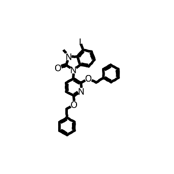 Cn1c(=O)n(-c2ccc(OCc3ccccc3)nc2OCc2ccccc2)c2cccc(I)c21